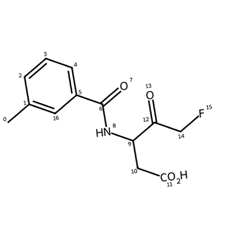 Cc1cccc(C(=O)NC(CC(=O)O)C(=O)CF)c1